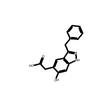 O=C(O)Cc1cc2c(Cc3ccccc3)n[nH]c2cc1O